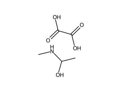 CNC(C)O.O=C(O)C(=O)O